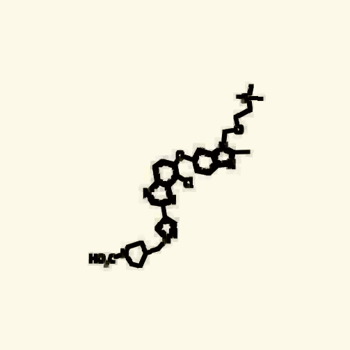 Cc1nc2ccc(Oc3ccc4ncc(-c5cnn(CC6CCN(C(=O)O)CC6)c5)nc4c3Cl)cc2n1COCC[Si](C)(C)C